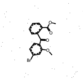 COC(=O)c1ccccc1C(=O)c1ccc(Br)cc1OC